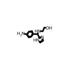 Nc1ccc(C(NCCO)c2ncc[nH]2)cc1